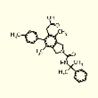 Cc1ccc(-c2c(C)c3c(c(C)c2CC(=O)O)CN(C(=O)NC(C)(C)c2ccccc2)C3)cc1